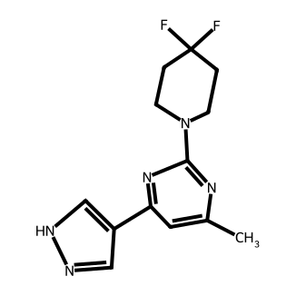 Cc1cc(-c2cn[nH]c2)nc(N2CCC(F)(F)CC2)n1